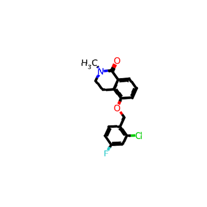 CN1CCc2c(OCc3ccc(F)cc3Cl)cccc2C1=O